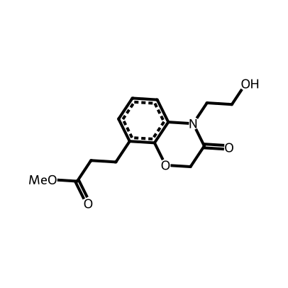 COC(=O)CCc1cccc2c1OCC(=O)N2CCO